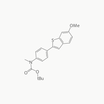 COc1ccc2cc(-c3ccc(N(C)C(=O)OC(C)(C)C)cc3)sc2c1